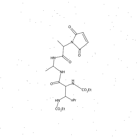 CCCC(NC(=O)OCC)C(NC(=O)OCC)C(=O)NC(C)NC(=O)C(C)N1C(=O)C=CC1=O